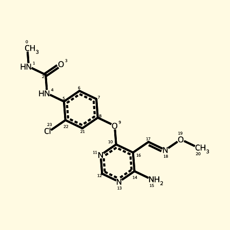 CNC(=O)Nc1ccc(Oc2ncnc(N)c2C=NOC)cc1Cl